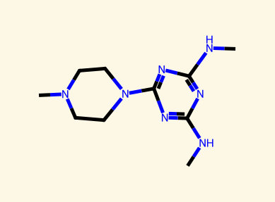 CNc1nc(NC)nc(N2CCN(C)CC2)n1